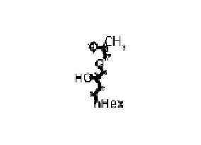 CCCCCCCCC(O)COCC(C)[O]